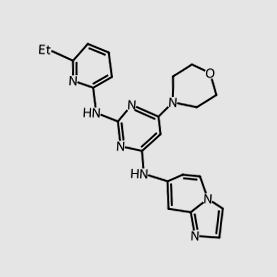 CCc1cccc(Nc2nc(Nc3ccn4ccnc4c3)cc(N3CCOCC3)n2)n1